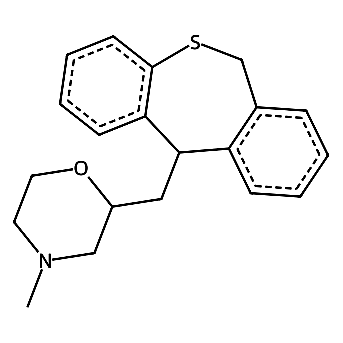 CN1CCOC(CC2c3ccccc3CSc3ccccc32)C1